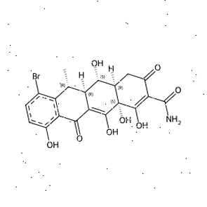 C[C@H]1c2c(Br)ccc(O)c2C(=O)C2=C(O)[C@]3(O)C(O)=C(C(N)=O)C(=O)C[C@@H]3[C@@H](O)[C@@H]21